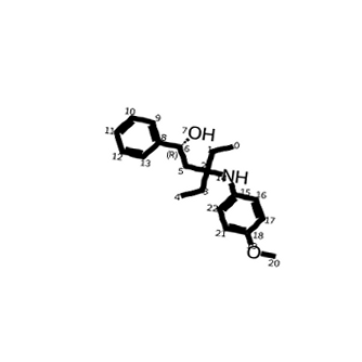 CCC(CC)(C[C@@H](O)c1ccccc1)Nc1ccc(OC)cc1